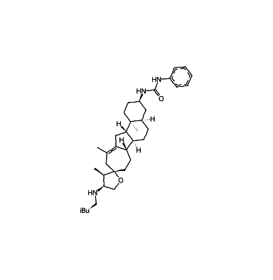 CC[C@H](C)CN[C@@H]1CO[C@]2(CC[C@@H]3C(=C(C)C2)C[C@H]2[C@H]3CC[C@@H]3C[C@H](NC(=O)Nc4ccccc4)CC[C@@]32C)[C@@H]1C